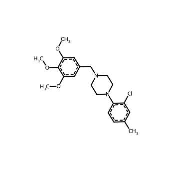 COc1cc(CN2CCN(c3ccc(C)cc3Cl)CC2)cc(OC)c1OC